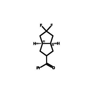 CC(C)C(=O)C1C[C@@H]2CC(F)(F)C[C@@H]2C1